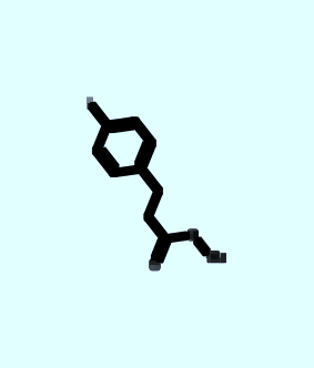 CC(C)(C)OC(=O)CCc1ccc(I)cc1